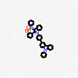 O=S1(=O)c2ccccc2-c2c(c3ccccc3n2-c2ccc(-c3ccc4c(c3)c3ccccc3n4-c3ccccc3)cc2)N1c1ccccc1